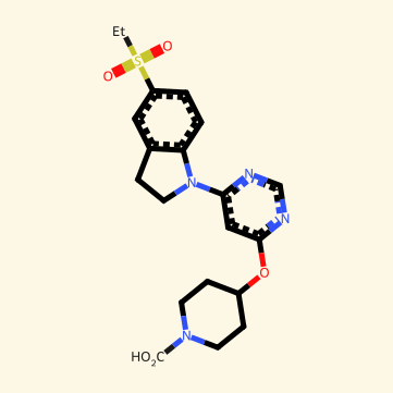 CCS(=O)(=O)c1ccc2c(c1)CCN2c1cc(OC2CCN(C(=O)O)CC2)ncn1